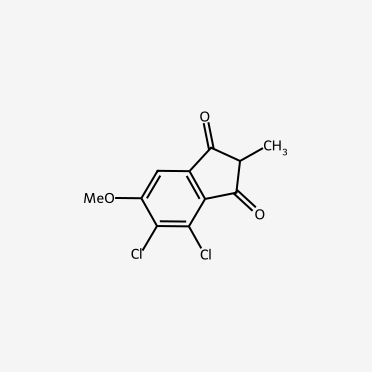 COc1cc2c(c(Cl)c1Cl)C(=O)C(C)C2=O